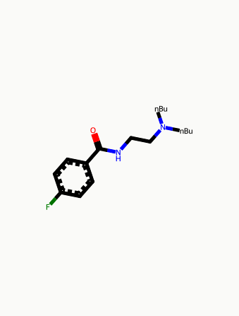 CCCCN(CCCC)CCNC(=O)c1ccc(F)cc1